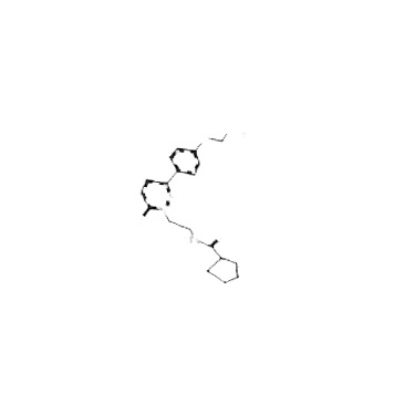 CCOc1ccc(-c2ccc(=O)n(CCNC(=O)C3CCCC3)n2)cc1